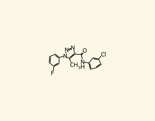 Cc1c(C(=O)Nc2cccc(Cl)c2)nnn1-c1cccc(F)c1